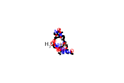 C=CC(=O)N1CCN(C(=O)N(C)[C@H](C(=O)N[C@H]2Cc3nc(cs3)-c3ccc4c(c3)c(c(-c3cccnc3[C@H](C)OC)n4CC)CC(C)(C)COC(=O)[C@@]3([SiH3])CCCN(N3)C2=O)C(C)C)[C@H](CC[C@@H](C)S)C1